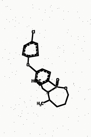 CC1CCCOP(=O)(c2ccc(Oc3ccc(Cl)cc3)cc2)N1CC(=O)O